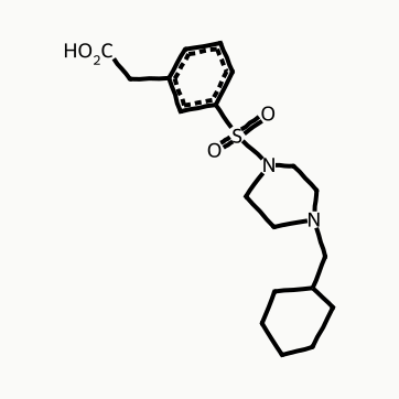 O=C(O)Cc1cccc(S(=O)(=O)N2CCN(CC3CCCCC3)CC2)c1